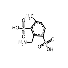 Cc1ccc(S(=O)(=O)O)c(CN)c1S(=O)(=O)O